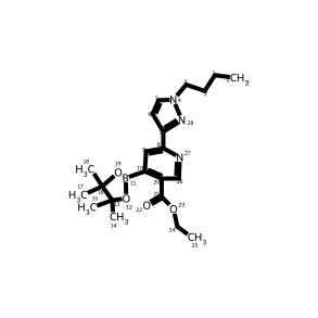 CCCCn1ccc(-c2cc(B3OC(C)(C)C(C)(C)O3)c(C(=O)OCC)cn2)n1